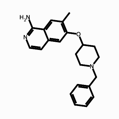 Cc1cc2c(N)nccc2cc1OC1CCN(Cc2ccccc2)CC1